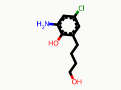 Nc1cc(Cl)cc(CCCCO)c1O